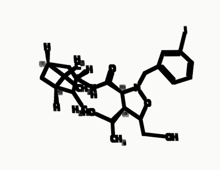 CC(O)[C@@H]1C(CO)ON(Cc2cccc(I)c2)[C@@H]1C(=O)N[C@H]1C[C@H]2C[C@@H](C1C)C2(C)C